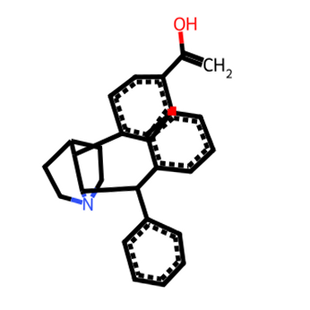 C=C(O)c1ccc(C2C3CCN(CC3)C2C(c2ccccc2)c2ccccc2)cc1